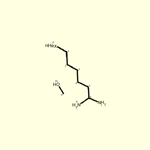 CCCCCCCCCCCC(N)N.CO